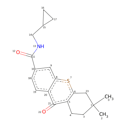 CC1(C)CCc2c(sc3cc(C(=O)NCC4CC4)ccc3c2=O)C1